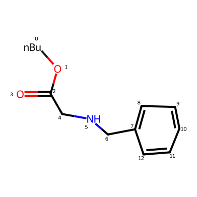 CCCCOC(=O)CNCc1ccccc1